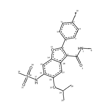 CNC(=O)c1c(-c2ccc(F)cc2)oc2cc(NS(C)(=O)=O)c(OC(C)C)cc12